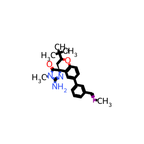 C/I=C/c1cccc(-c2ccc3c(c2)[C@]2(CC(C(C)(C)C)O3)N=C(N)N(C)C2=O)c1